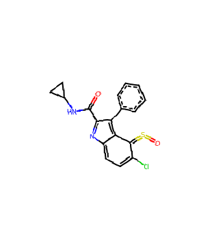 O=S=C1C(Cl)=CC=C2N=C(C(=O)NC3CC3)C(c3ccccc3)=C21